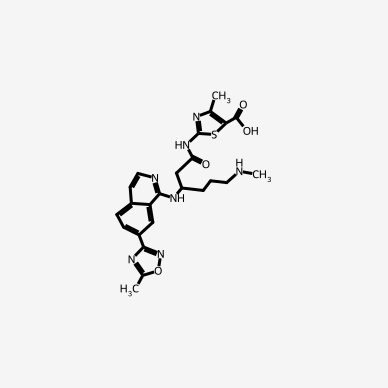 CNCCCC(CC(=O)Nc1nc(C)c(C(=O)O)s1)Nc1nccc2ccc(-c3noc(C)n3)cc12